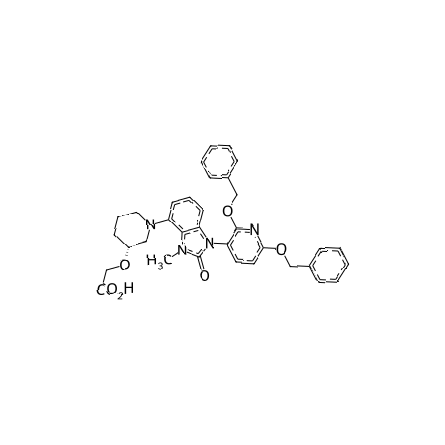 Cn1c(=O)n(-c2ccc(OCc3ccccc3)nc2OCc2ccccc2)c2cccc(N3CCC[C@@H](OCC(=O)O)C3)c21